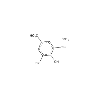 CC(C)(C)c1cc(C(=O)O)cc(C(C)(C)C)c1O.[BaH2]